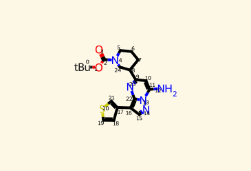 CC(C)(C)OC(=O)N1CCCC(c2cc(N)n3ncc(-c4ccsc4)c3n2)C1